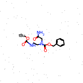 CC(C)(C)OC(=O)NCCN(CC(N)=O)C(=O)OCc1ccccc1